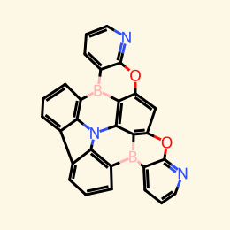 c1cnc2c(c1)B1c3c(cc4c5c3-n3c6c1cccc6c1cccc(c13)B5c1cccnc1O4)O2